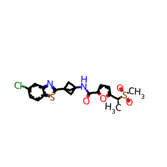 C[C@@H](c1ccc(C(=O)NC23CC(c4nc5cc(Cl)ccc5s4)(C2)C3)o1)S(C)(=O)=O